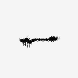 O=C1CCC(N2C(=O)c3ccc(OCCOCCOCCOCCOCCOc4ccc(-c5cnc6[nH]cc(C(=O)c7c(F)ccc(NS(=O)(=O)N8CC[C@@H](F)C8)c7F)c6c5)cc4)cc3C2=O)C(=O)N1